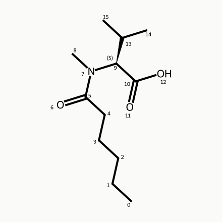 CCCCCC(=O)N(C)[C@H](C(=O)O)C(C)C